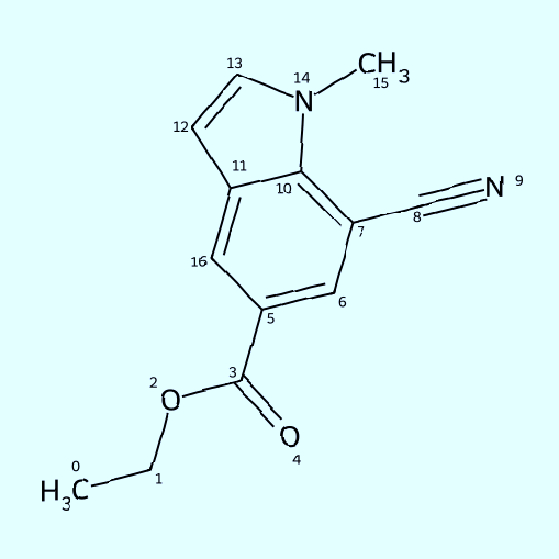 CCOC(=O)c1cc(C#N)c2c(ccn2C)c1